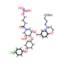 COCCCN1CCOc2ccc(COC3CN(C(=O)CCCON(O)O)CC(O)C3OC3CCC(Oc4ccc(Cl)cc4)CC3)cc21